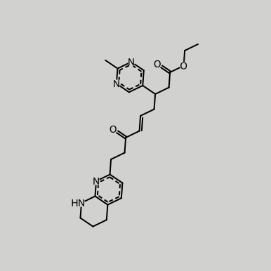 CCOC(=O)CC(CC=CC(=O)CCc1ccc2c(n1)NCCC2)c1cnc(C)nc1